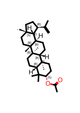 [CH2][C@@]12CC[C@@H](C(=C)C)[C@@H]1[C@H]1CC[C@@H]3[C@@]4(C)CC[C@H](OC(C)=O)C(C)(C)[C@@H]4CC[C@@]3(C)[C@]1(C)CC2